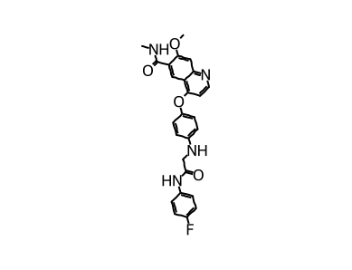 CNC(=O)c1cc2c(Oc3ccc(NCC(=O)Nc4ccc(F)cc4)cc3)ccnc2cc1OC